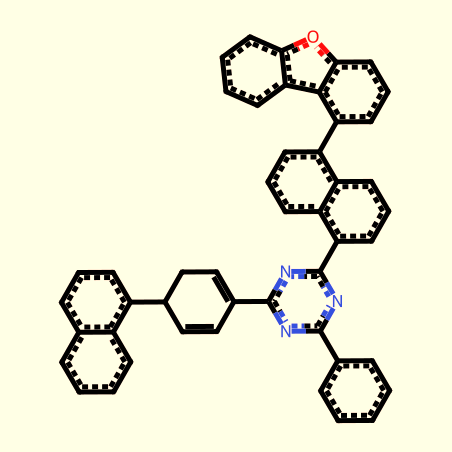 C1=CC(c2cccc3ccccc23)CC=C1c1nc(-c2ccccc2)nc(-c2cccc3c(-c4cccc5oc6ccccc6c45)cccc23)n1